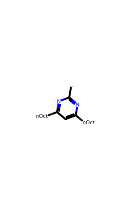 [CH2]c1nc(CCCCCCCC)cc(CCCCCCCC)n1